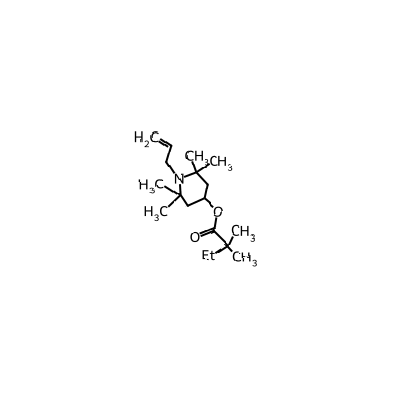 C=CCN1C(C)(C)CC(OC(=O)C(C)(C)CC)CC1(C)C